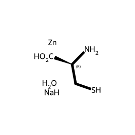 N[C@@H](CS)C(=O)O.O.[NaH].[Zn]